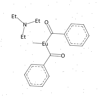 CCN(CC)CC.[CH3][Eu]([C](=O)c1ccccc1)[C](=O)c1ccccc1